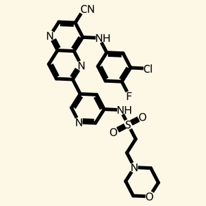 N#Cc1cnc2ccc(-c3cncc(NS(=O)(=O)CCN4CCOCC4)c3)nc2c1Nc1ccc(F)c(Cl)c1